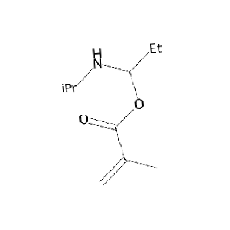 C=C(C)C(=O)OC(CC)NC(C)C